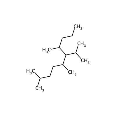 CCCC(C)C([C](C)CCC(C)C)C(C)C